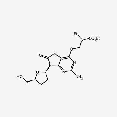 CCOC(=O)N(CC)COc1nc(N)nc2c1sc(=O)n2[C@H]1CC[C@@H](CO)O1